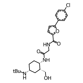 CC(C)(C)N[C@@H]1CC[C@H](NC(=O)CNC(=O)c2ccc(-c3ccc(Cl)cc3)o2)[C@H](CO)C1